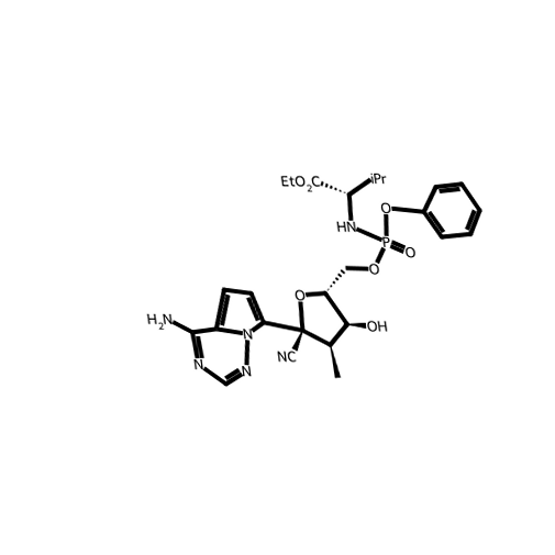 CCOC(=O)[C@@H](NP(=O)(OC[C@H]1O[C@@](C#N)(c2ccc3c(N)ncnn23)[C@H](C)[C@@H]1O)Oc1ccccc1)C(C)C